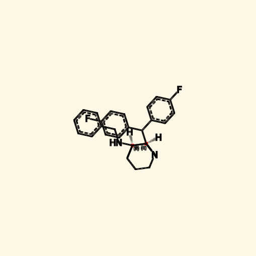 Fc1ccc(C(c2ccc(F)cc2)[C@@H]2[C@H](NCc3ccccc3)C3CCN2CC3)cc1